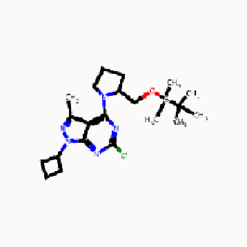 Cc1nn(C2CCC2)c2nc(Cl)nc(N3CCCC3CO[Si](C)(C)C(C)(C)C)c12